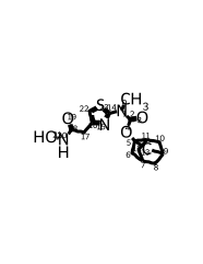 CN(C(=O)OC12CC3CC(CC1C3)C2)c1nc(CC(=O)NO)cs1